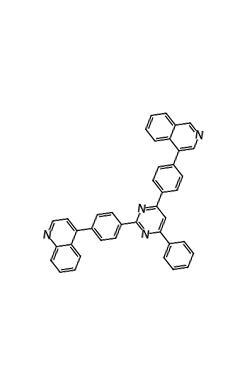 c1ccc(-c2cc(-c3ccc(-c4cncc5ccccc45)cc3)nc(-c3ccc(-c4ccnc5ccccc45)cc3)n2)cc1